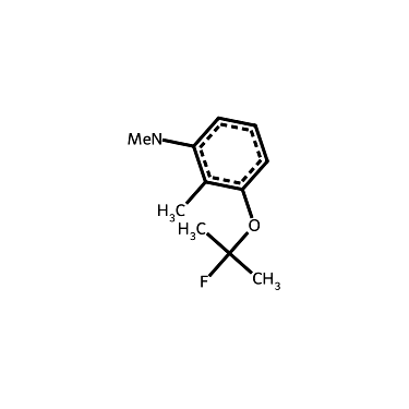 CNc1cccc(OC(C)(C)F)c1C